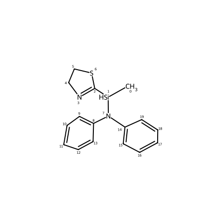 C[SiH](C1=NCCS1)N(c1ccccc1)c1ccccc1